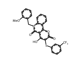 COc1ccccc1Cn1c(=O)c2c(O)c(Sc3cccc(C(F)(F)F)c3)c(=O)oc2c2ccccc21